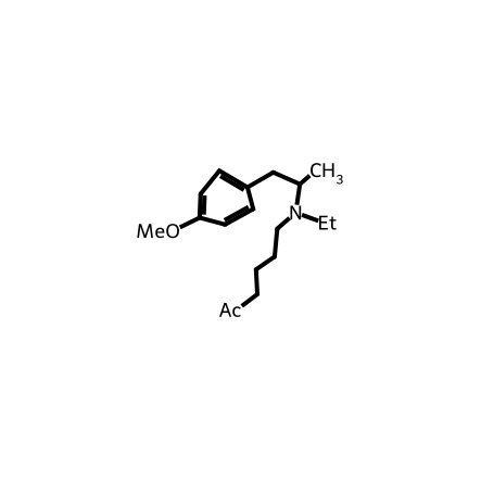 CCN(CCCCC(C)=O)C(C)Cc1ccc(OC)cc1